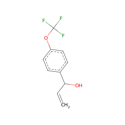 C=CC(O)c1ccc(OC(F)(F)F)cc1